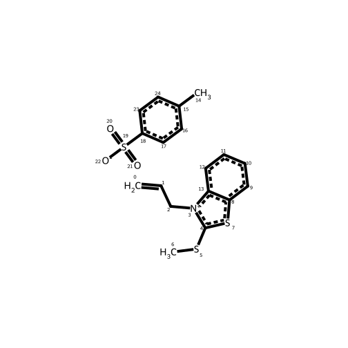 C=CC[n+]1c(SC)sc2ccccc21.Cc1ccc(S(=O)(=O)[O-])cc1